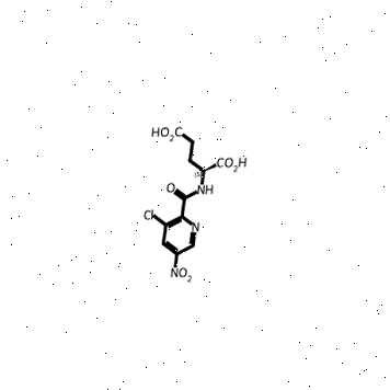 O=C(O)CC[C@H](NC(=O)c1ncc([N+](=O)[O-])cc1Cl)C(=O)O